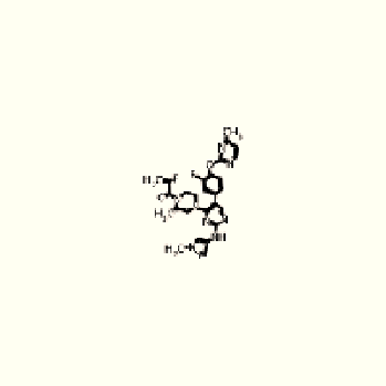 C=C(F)C(=O)N1CCN(c2nc(Nc3cnn(C)c3)ncc2-c2ccc(Oc3nccc(C)n3)c(F)c2)C[C@H]1C